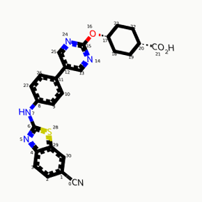 N#Cc1ccc2nc(Nc3ccc(-c4cnc(O[C@H]5CC[C@@H](C(=O)O)CC5)nc4)cc3)sc2c1